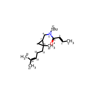 C/C=C/C(=O)N(CC1CC1(C)CCC=C(C)C)C(C)(C)C